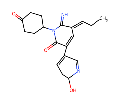 CC/C=C1\C=C(C2=CCC(O)N=C2)C(=O)N(C2CCC(=O)CC2)C1=N